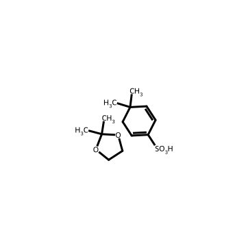 CC1(C)C=CC(S(=O)(=O)O)=CC1.CC1(C)OCCO1